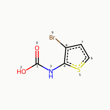 O=C(O)Nc1sccc1Br